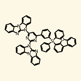 c1ccc([Si](c2ccccc2)(c2cccc(-c3cc(-n4c5ccccc5n5c6ccccc6nc45)nc(-n4c5ccccc5n5c6ccccc6nc45)n3)c2)c2cccc3c2oc2ccccc23)cc1